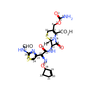 NC(=O)OCC1=C(C(=O)O)N2C(=O)C(NC(=O)C(=NOC3C=CCC3)c3csc(NC=O)n3)[C@@H]2SC1